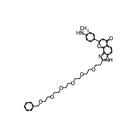 CNc1ccc(-c2cc(=O)c3ccc4[nH]c(CCOCCOCCOCCOCCOCCOCc5ccccc5)nc4c3o2)cc1